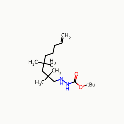 C=CCCCC(C)(C)CC(C)(C)CNNC(=O)OC(C)(C)C